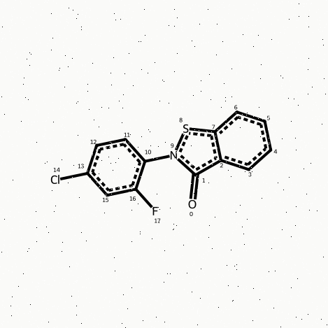 O=c1c2ccccc2sn1-c1ccc(Cl)cc1F